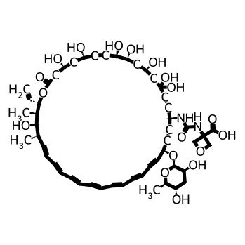 C=C[C@@H]1OC(=O)C[C@H](O)C[C@H](O)CC[C@@H](O)[C@H](O)C[C@H](O)CC(O)(O)CC[C@@H](NC(=O)NC2(C(=O)O)COC2)CC[C@@H](O[C@@H]2O[C@H](C)[C@@H](O)C[C@@H]2O)/C=C/C=C/C=C/C=C/C=C/C=C/C=C/[C@H](C)[C@@H](O)[C@H]1C